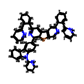 c1ccc(-c2ccccc2-c2cc3c(cn2)sc2c(-c4ccc5c(c4)c4ccccc4n5-c4ccccn4)nc(-c4ccccc4-c4ccccn4)cc23)nc1